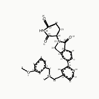 COc1cccc(CN(C)Cc2ccnc(-c3ccc4c(c3)CN(C3CCC(=O)NC3=O)C4=O)c2)c1